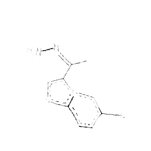 C/C(=N/N)c1cnc2ccc(Br)cn12